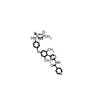 Cc1cc(Sc2ccc(NS(=O)(=O)CS(C)(=O)=O)cc2)cc(C)c1-c1csc(NC(=O)c2ccncc2)n1